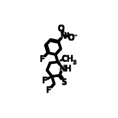 C[C@@]1(C2CC([N+](=O)[O-])=CC=C2F)CC[C@@](F)(CF)C(=S)N1